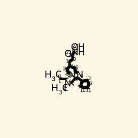 CCCN(C)Cc1c(-c2ccccc2)nc2cc(C=CC(=O)NO)ccn12